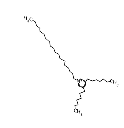 CCCCCCCCCCCCCCCCCCC[n+]1cc(CCCCCCC)cc(CCCCCCC)c1